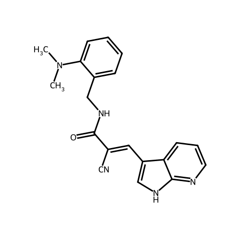 CN(C)c1ccccc1CNC(=O)/C(C#N)=C/c1c[nH]c2ncccc12